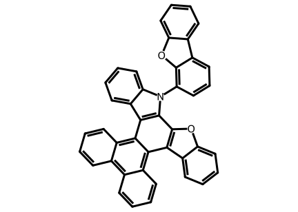 c1ccc2c(c1)oc1c(-n3c4ccccc4c4c5c6ccccc6c6ccccc6c5c5c6ccccc6oc5c43)cccc12